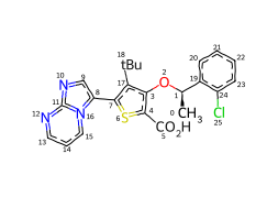 C[C@@H](Oc1c(C(=O)O)sc(-c2cnc3ncccn23)c1C(C)(C)C)c1ccccc1Cl